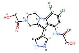 O=C(CO)Nc1cc(Cl)c(Cl)c2c1c(-c1cn[nH]c1)c1n2CCN(C(=O)CO)C1